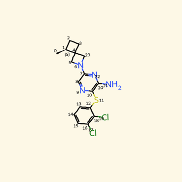 C[C@H]1CCC12CN(c1cnc(Sc3cccc(Cl)c3Cl)c(N)n1)C2